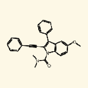 COc1ccc2c(c1)c(-c1ccccc1)c(C#Cc1ccccc1)n2C(=O)N(C)C